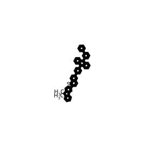 CC1(C)c2ccccc2-c2cc3c(cc21)sc1c2ccc(-c4ccc(-c5c6ccccc6c(-c6cccc(-c7ccccc7)c6)c6ccccc56)cc4)cc2ccc31